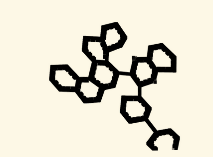 c1ccc(-c2cccc(-c3nc4ccccc4nc3-c3cc4ccc5ccccc5c4c4ccc5ccccc5c34)c2)cc1